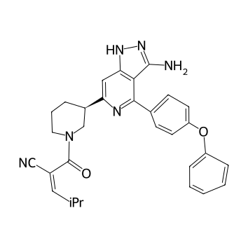 CC(C)/C=C(/C#N)C(=O)N1CCC[C@@H](c2cc3[nH]nc(N)c3c(-c3ccc(Oc4ccccc4)cc3)n2)C1